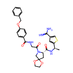 C[C@@H](NC(=O)[C@@H]1CC2(CN1C(=O)CNC(=O)c1ccc(OCc3ccccc3)cc1)OCCO2)c1cc(C(=N)N)cs1